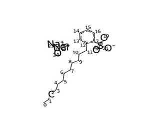 CCCCCCCCCCCCc1ccccc1S(=O)(=O)[O-].[Na+].[Na+].[O-]Cl